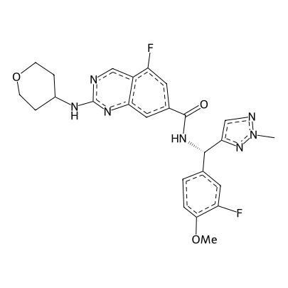 COc1ccc([C@H](NC(=O)c2cc(F)c3cnc(NC4CCOCC4)nc3c2)c2cnn(C)n2)cc1F